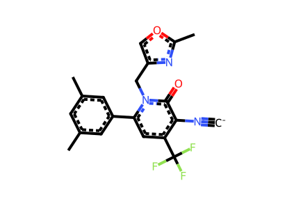 [C-]#[N+]c1c(C(F)(F)F)cc(-c2cc(C)cc(C)c2)n(Cc2coc(C)n2)c1=O